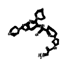 NCC(=O)N[C@H]1CCN(c2cccc(C(=O)Nc3cc4sc(N5CCOCC5)nc4nc3N3CCCCC3)n2)C1